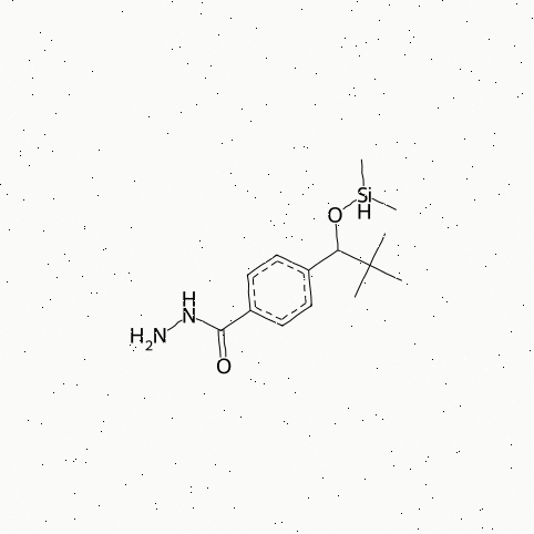 C[SiH](C)OC(c1ccc(C(=O)NN)cc1)C(C)(C)C